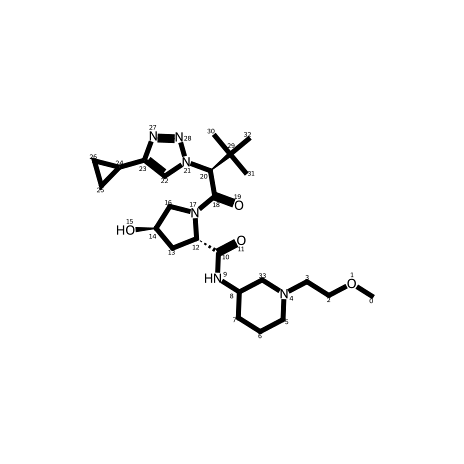 COCCN1CCCC(NC(=O)[C@@H]2C[C@@H](O)CN2C(=O)[C@@H](n2cc(C3CC3)nn2)C(C)(C)C)C1